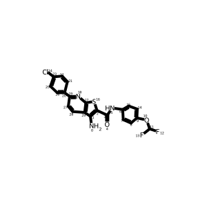 Nc1c(C(=O)Nc2ccc(OC(F)F)cc2)sc2nc(-c3ccc(Cl)cc3)ccc12